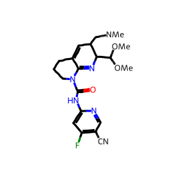 CNCC1C=C2CCCN(C(=O)Nc3cc(F)c(C#N)cn3)C2=NC1C(OC)OC